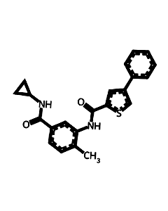 Cc1ccc(C(=O)NC2CC2)cc1NC(=O)c1cc(-c2ccccc2)cs1